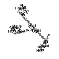 [C-]#[N+]C(C)(CCC(=O)OC(CCCCCC)CCCCCCCCCCC(=O)NCCN(CCNC(=O)CCCCCCCCCCC(CCCCCC)OC(=O)CCC(C)(C#N)/N=N/C(C)(C#N)CCC(=O)O)C(=O)CCCCCCCCCCC(CCCCCC)OC(=O)CCC(C)(C#N)/N=N/C(C)(C#N)CCC(=O)O)/N=N/C(C)(C#N)CCC(=O)O